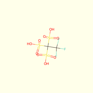 O=S(=O)(O)C(C(F)(F)F)(S(=O)(=O)O)S(=O)(=O)O